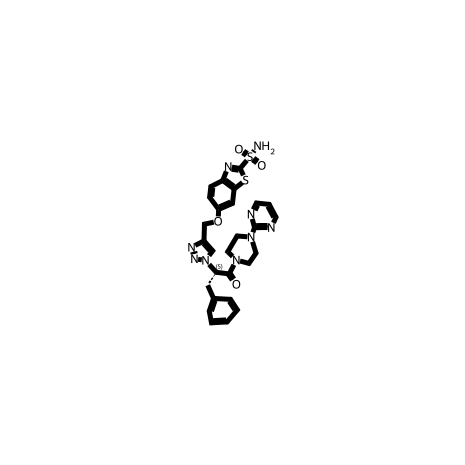 NS(=O)(=O)c1nc2ccc(OCc3cn([C@@H](Cc4ccccc4)C(=O)N4CCN(c5ncccn5)CC4)nn3)cc2s1